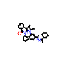 C=C(/N=C(\C)c1cccc(-n2c(=C)c(=C)c3c4ccccc4c(=O)n(-c4ccccc4)c32)c1)c1ccccc1